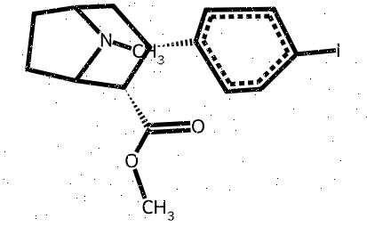 COC(=O)[C@@H]1C2CCC(C[C@@H]1c1ccc(I)cc1)N2C